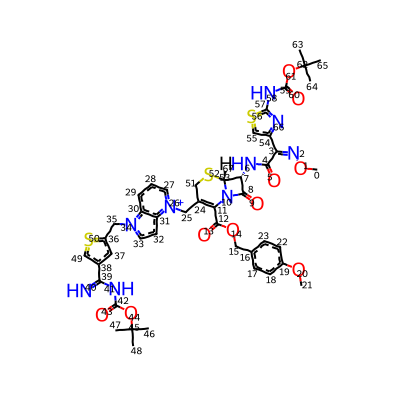 CO/N=C(\C(=O)N[C@@H]1C(=O)N2C(C(=O)OCc3ccc(OC)cc3)=C(C[n+]3cccc4c3ccn4Cc3cc(C(=N)NC(=O)OC(C)(C)C)cs3)CS[C@H]12)c1csc(NC(=O)OC(C)(C)C)n1